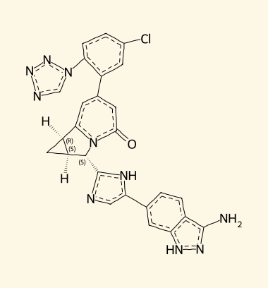 Nc1n[nH]c2cc(-c3cnc([C@@H]4[C@H]5C[C@H]5c5cc(-c6cc(Cl)ccc6-n6cnnn6)cc(=O)n54)[nH]3)ccc12